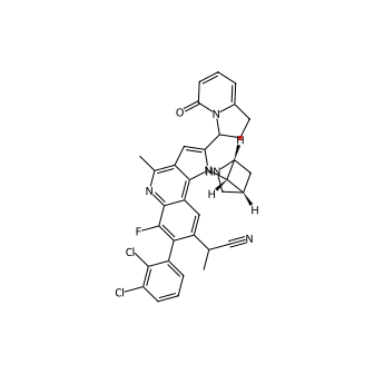 Cc1nc2c(F)c(-c3cccc(Cl)c3Cl)c(C(C)C#N)cc2c2c1cc(C1CCc3cccc(=O)n31)n2[C@H]1[C@H]2CN[C@@H]1C2